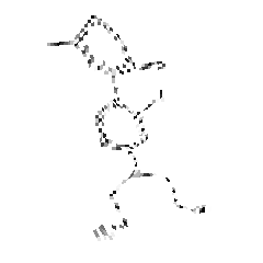 Cc1ccc(=O)n(-c2ccc(N(CCO)CCO)cc2Cl)c1